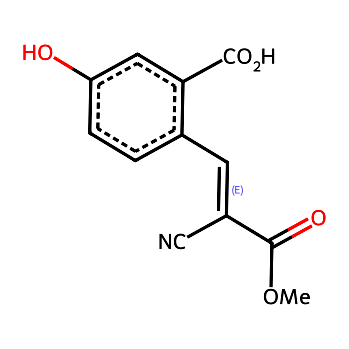 COC(=O)/C(C#N)=C/c1ccc(O)cc1C(=O)O